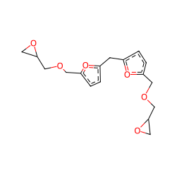 c1cc(Cc2ccc(COCC3CO3)o2)oc1COCC1CO1